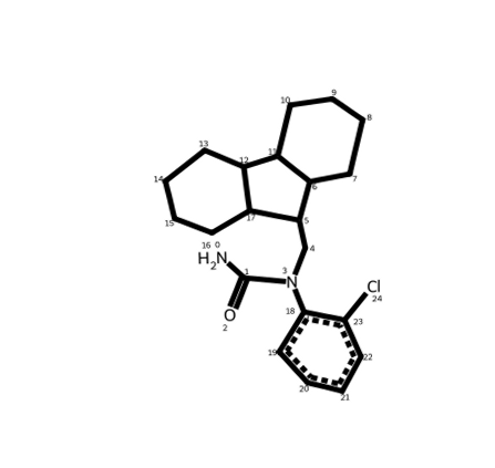 NC(=O)N(CC1C2CCCCC2C2CCCCC21)c1ccccc1Cl